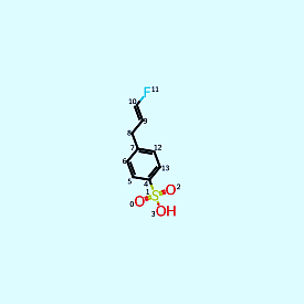 O=S(=O)(O)c1ccc(CC=CF)cc1